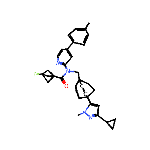 Cc1ccc(-c2ccnc(N(CC34CCC(c5cc(C6CC6)nn5C)(CC3)CC4)C(=O)C34CC(F)(C3)C4)c2)cc1